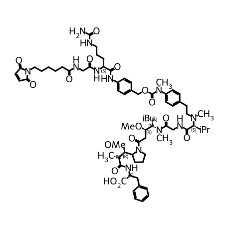 CC[C@H](C)[C@@H]([C@@H](CC(=O)N1CCCC1[C@H](OC)[C@@H](C)C(=O)N[C@@H](Cc1ccccc1)C(=O)O)OC)N(C)C(=O)CNC(=O)[C@H](C(C)C)N(C)CCc1ccc(N(C)C(=O)OCc2ccc(NC(=O)[C@H](CCCNC(N)=O)NC(=O)CNC(=O)CCCCCN3C(=O)C=CC3=O)cc2)cc1